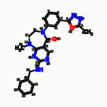 Cc1nnc(-c2cccc(N3CCN(C)c4nc(NCc5ccccc5)ncc4C3=O)c2)o1